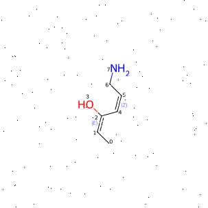 C/C=C(O)\C=C/CN